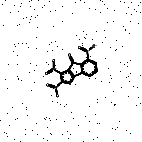 O=C1c2c(cccc2[N+](=O)[O-])-c2sc([N+](=O)[O-])c([N+](=O)[O-])c21